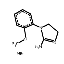 Br.NC1=NCCN1c1ccccc1OC(F)(F)F